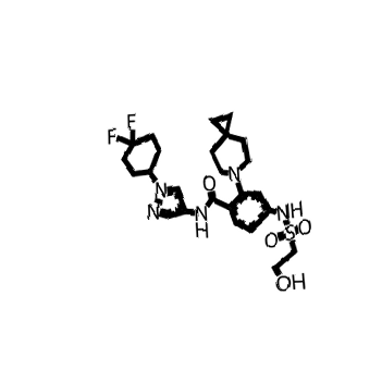 O=C(Nc1cnn(C2CCC(F)(F)CC2)c1)c1ccc(NS(=O)(=O)CCO)cc1N1CCC2(CC1)CC2